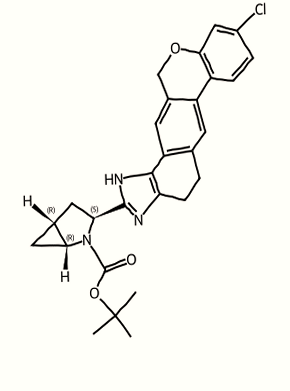 CC(C)(C)OC(=O)N1[C@@H]2C[C@@H]2C[C@H]1c1nc2c([nH]1)-c1cc3c(cc1CC2)-c1ccc(Cl)cc1OC3